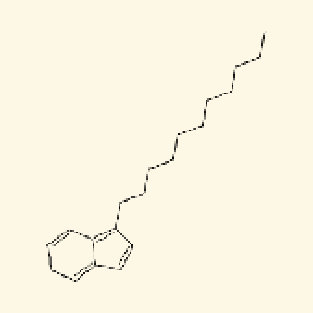 CCCCCCCCCCCC1=C2C=CCC=C2C=C1